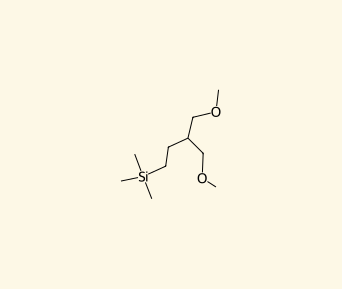 COCC(CC[Si](C)(C)C)COC